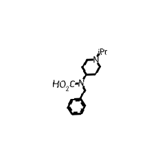 CC(C)N1CCC(N(Cc2ccccc2)C(=O)O)CC1